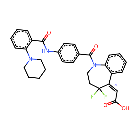 O=C(O)/C=C1/c2ccccc2N(C(=O)c2ccc(NC(=O)c3ccccc3N3CCCCC3)cc2)CCC1(F)F